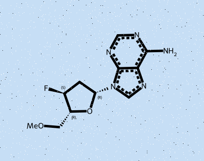 COC[C@H]1O[C@@H](n2cnc3c(N)ncnc32)C[C@@H]1F